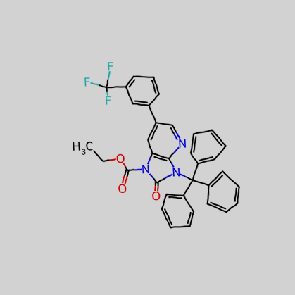 CCOC(=O)n1c(=O)n(C(c2ccccc2)(c2ccccc2)c2ccccc2)c2ncc(-c3cccc(C(F)(F)F)c3)cc21